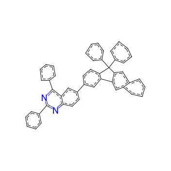 c1ccc(-c2nc(-c3ccccc3)c3cc(-c4ccc5c(c4)-c4cc6ccccc6cc4C5(c4ccccc4)c4ccccc4)ccc3n2)cc1